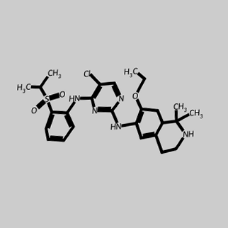 CCOC1=C(Nc2ncc(Cl)c(Nc3ccccc3S(=O)(=O)C(C)C)n2)C=C2CCNC(C)(C)C2C1